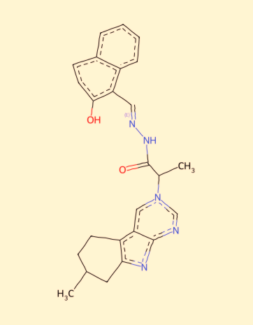 CC1CCc2c3cn(C(C)C(=O)N/N=C/c4c(O)ccc5ccccc45)cnc-3nc2C1